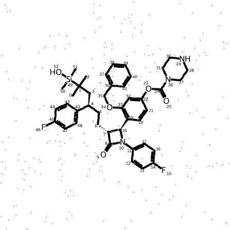 CC(C)(C[C@@H](CC[C@H]1C(=O)N(c2ccc(F)cc2)[C@@H]1c1ccc(OC(=O)N2CCNCC2)cc1OCc1ccccc1)c1ccc(F)cc1)[Si](C)(C)O